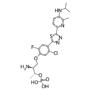 Cc1nc(-c2nnc(-c3cc(F)c(OC[C@H](N)[C@@H](C)OP(=O)(O)O)cc3Cl)s2)ccc1NC(C)C